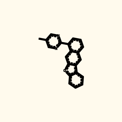 Cc1cnc(-c2cccc3cc4c(cc23)oc2ccccc24)nc1